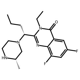 CCC[C@H](c1nc2c(F)cc(F)cc2c(=O)n1CC)N1CCN[C@@H](C)C1